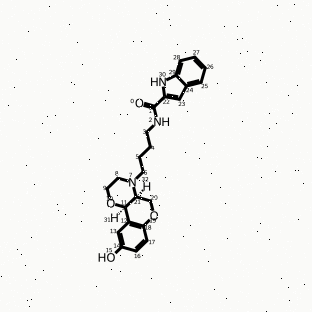 O=C(NCCCCN1CCO[C@@H]2c3cc(O)ccc3OC[C@@H]21)c1cc2ccccc2[nH]1